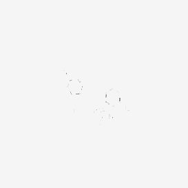 CN(C)c1ccc(C(O)C[C@@]2(O)C(=O)Nc3c(Cl)ccc(Cl)c32)cc1